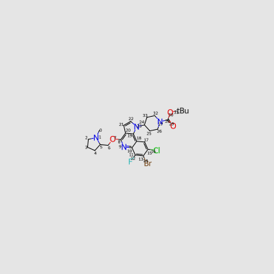 CN1CCCC1COc1nc2c(F)c(Br)c(Cl)cc2c2c1ccn2C1CCN(C(=O)OC(C)(C)C)CC1